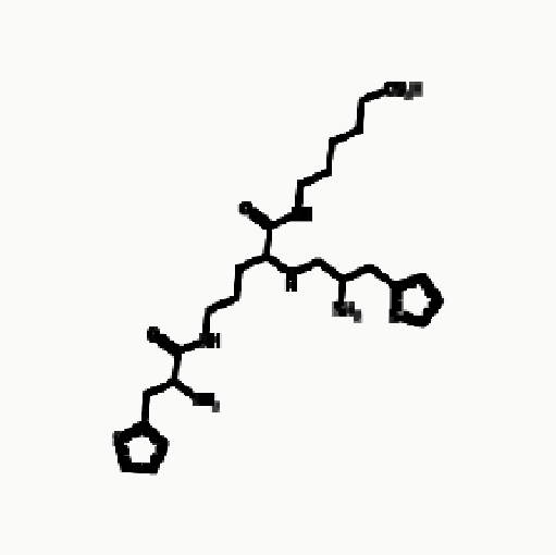 NC(CNC(CCCNC(=O)C(N)Cc1cccs1)C(=O)NCCCCCC(=O)O)Cc1cccs1